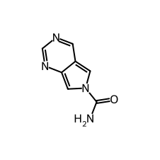 NC(=O)n1cc2cncnc2c1